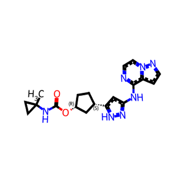 CC1(NC(=O)O[C@@H]2CC[C@H](c3cc(Nc4nccn5nccc45)n[nH]3)C2)CC1